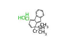 C[SiH](C)[C]1([Cr])C=CC=C2C1=Cc1ccccc12.Cl.Cl